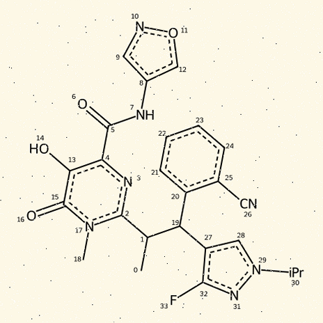 CC(c1nc(C(=O)Nc2cnoc2)c(O)c(=O)n1C)C(c1ccccc1C#N)c1cn(C(C)C)nc1F